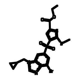 CCOC(=O)c1cc(S(=O)(=O)c2cc(Br)c3ncn(CC4CC4)c3c2)c(SC)s1